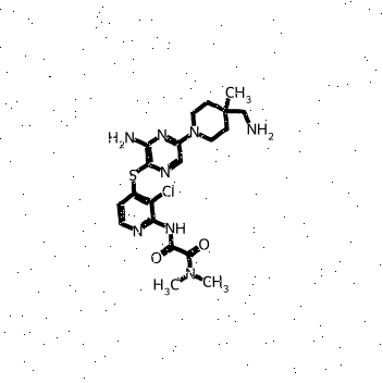 CN(C)C(=O)C(=O)Nc1nccc(Sc2ncc(N3CCC(C)(CN)CC3)nc2N)c1Cl